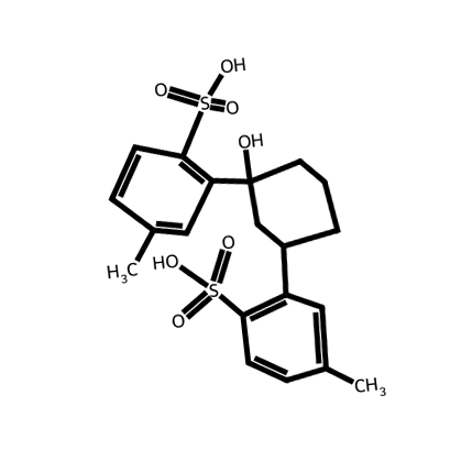 Cc1ccc(S(=O)(=O)O)c(C2CCCC(O)(c3cc(C)ccc3S(=O)(=O)O)C2)c1